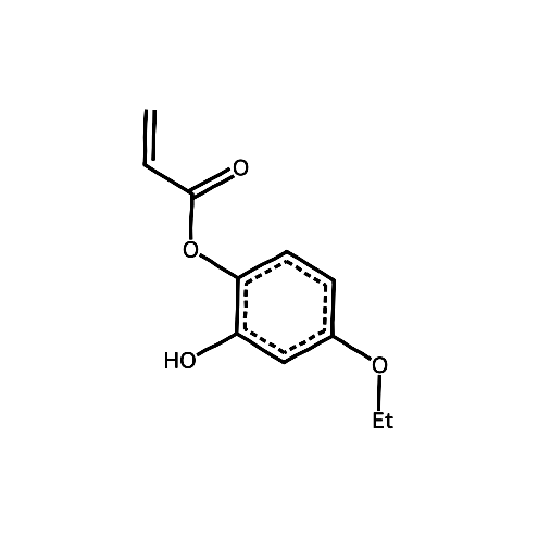 C=CC(=O)Oc1ccc(OCC)cc1O